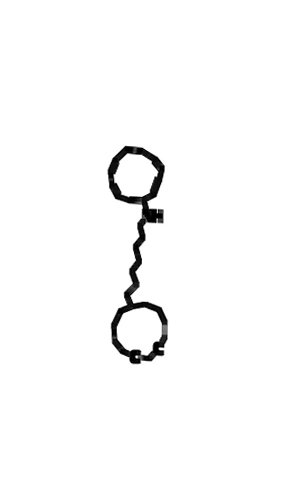 C1=C\C=C/C=C\C(NCCCCCCCC2CCCCCCCCCCC2)=C/C=C\C=C/1